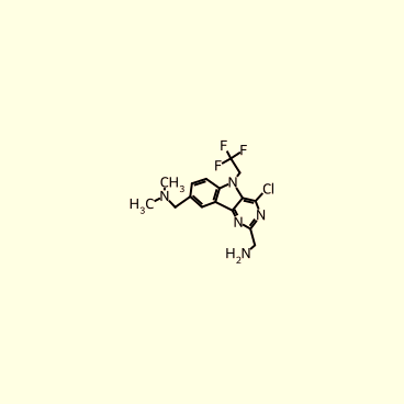 CN(C)Cc1ccc2c(c1)c1nc(CN)nc(Cl)c1n2CC(F)(F)F